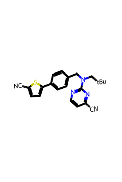 CC(C)(C)CN(Cc1ccc(-c2ccc(C#N)s2)cc1)c1nccc(C#N)n1